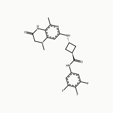 Cc1nc(N[C@H]2C[C@H](C(=O)Nc3cc(F)c(F)c(F)c3)C2)cc2c1NC(=O)CN2C